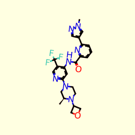 C[C@H]1CN(c2cc(NC(=O)c3cccc(-c4cnn(C)c4)n3)c(C(F)(F)F)cn2)CCN1C1COC1